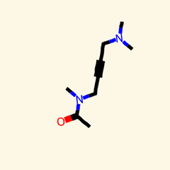 CC(=O)N(C)CC#CCN(C)C